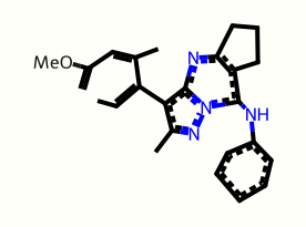 C=C(/C=C(C)\C(=C/C)c1c(C)nn2c(Nc3ccccc3)c3c(nc12)CCC3)OC